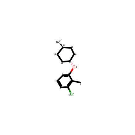 Cc1c(Br)cccc1O[C@H]1CC[C@H](C(C)=O)CC1